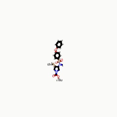 CN(C1CN(C(=O)OC(C)(C)C)CC1SC(C)(C)C)S(=O)(=O)c1ccc(Oc2ccccc2)cc1